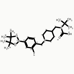 CC(C)(C)N(CC1CCN(Cc2ccc(B3OC(C)(C)C(C)(C)O3)cc2F)CC1)C(=O)O